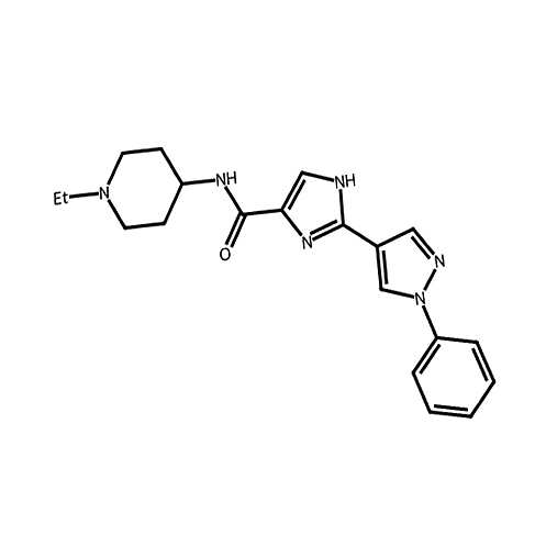 CCN1CCC(NC(=O)c2c[nH]c(-c3cnn(-c4ccccc4)c3)n2)CC1